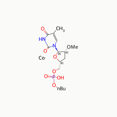 CCCCOP(=O)(O)OC[C@H]1C[C@@H](OC)[C@H](n2cc(C)c(=O)[nH]c2=O)O1.[Co]